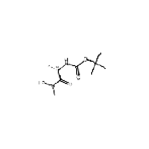 C[C@H](NC(=O)OC(C)(C)C)C(=O)N(C)O